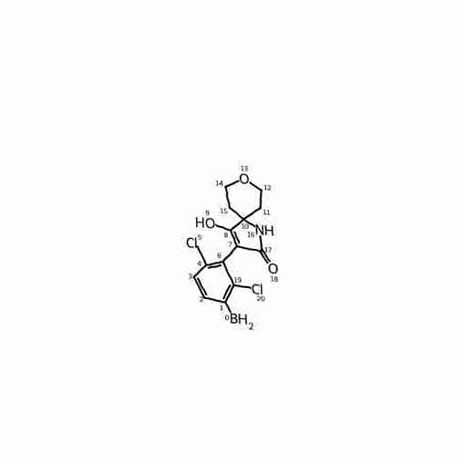 Bc1ccc(Cl)c(C2=C(O)C3(CCOCC3)NC2=O)c1Cl